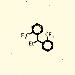 [CH2]CC(c1ccccc1C(F)(F)F)c1ccccc1C(F)(F)F